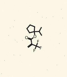 C=C(C(=O)OC1(C(C)C)CCCC1)C(F)(F)F